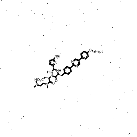 CCCCCCCOc1ccc(-c2cnc(-c3ccc(C[C@H](NC(O)c4ccc(C(C)(C)C)s4)C(=O)N[C@@H](CC(=O)O)C(=O)N(C)CCN(C)C)cc3)nc2)cc1